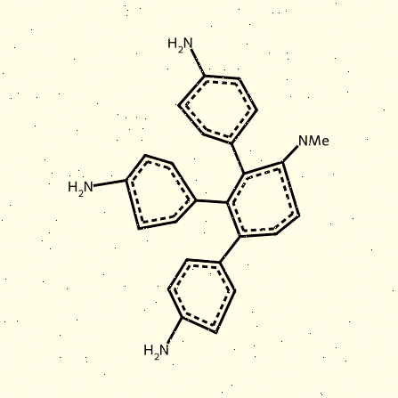 CNc1ccc(-c2ccc(N)cc2)c(-c2ccc(N)cc2)c1-c1ccc(N)cc1